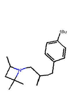 CC(Cc1ccc(C(C)(C)C)cc1)CN1C(C)CC1(C)C